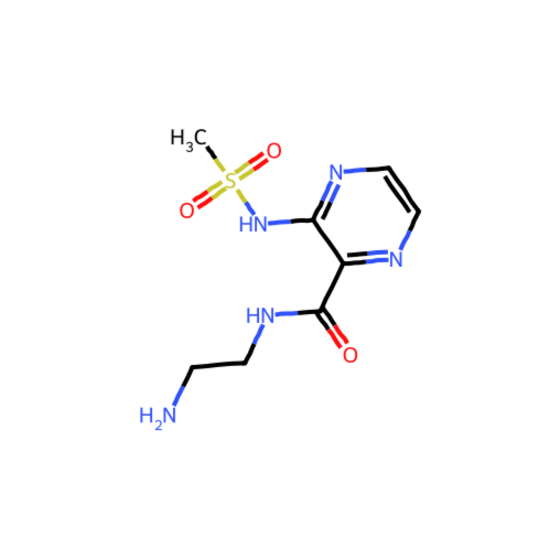 CS(=O)(=O)Nc1nccnc1C(=O)NCCN